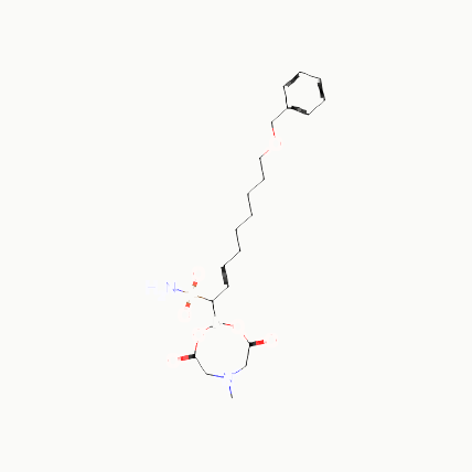 CN1CC(=O)OB(C(/C=C/CCCCCCOCc2ccccc2)S(N)(=O)=O)OC(=O)C1